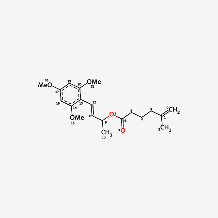 C=C(C)CCCC(=O)OC(C)C=Cc1c(OC)cc(OC)cc1OC